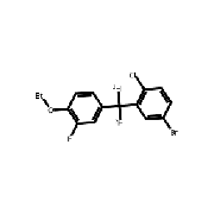 [2H]C([2H])(c1ccc(OCC)c(F)c1)c1cc(Br)ccc1Cl